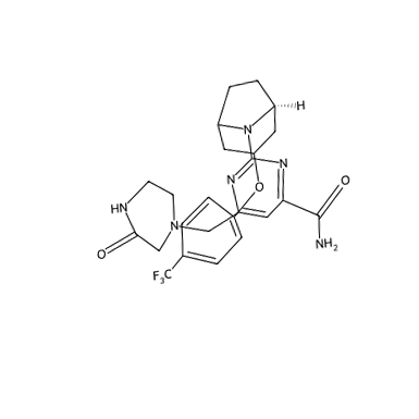 NC(=O)c1cc(CN2CCNC(=O)C2)nc(N2C3CC[C@H]2CC(Oc2ccc(C(F)(F)F)cc2)C3)n1